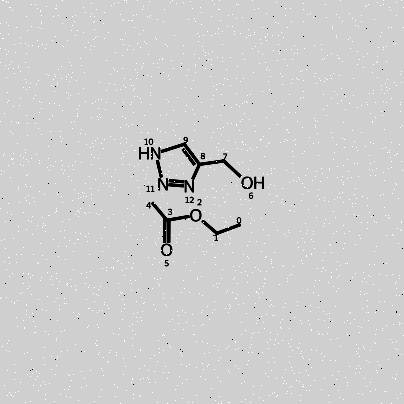 CCOC(C)=O.OCc1c[nH]nn1